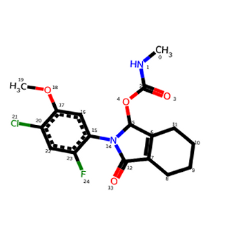 CNC(=O)OC1C2=C(CCCC2)C(=O)N1c1cc(OC)c(Cl)cc1F